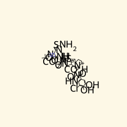 C[C@@H]1S[C@@H]2[C@H](NC(=O)/C(=N\OC(C)(C)C(=O)O)c3csc(N)n3)C(=O)N2C(C(=O)O)C1C[N+]1(CCn2c(=O)[nH]c3c(Cl)c(O)c(O)cc3c2=O)CCCC1